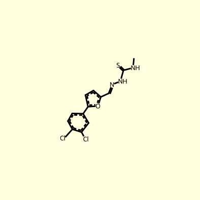 CNC(=S)N/N=C/c1ccc(-c2ccc(Cl)c(Cl)c2)o1